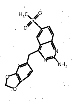 CS(=O)(=O)c1ccc2nc(N)nc(Cc3ccc4c(c3)OCO4)c2c1